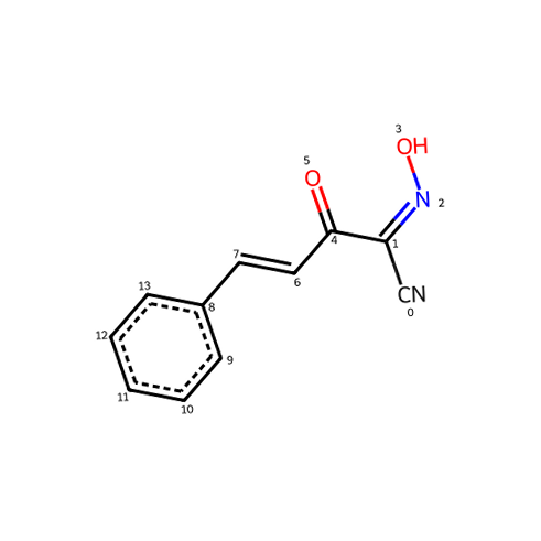 N#C/C(=N/O)C(=O)/C=C/c1ccccc1